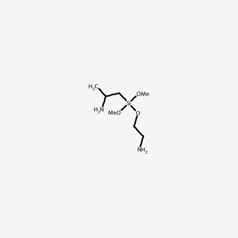 CO[Si](CC(C)N)(OC)OCCN